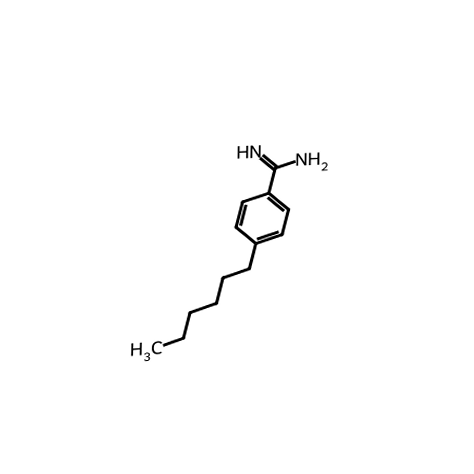 CCCCCCc1ccc(C(=N)N)cc1